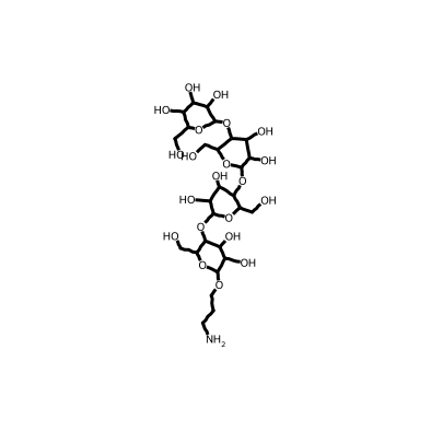 NCCCOC1OC(CO)C(OC2OC(CO)C(OC3OC(CO)C(OC4OC(CO)C(O)C(O)C4O)C(O)C3O)C(O)C2O)C(O)C1O